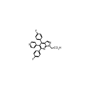 O=C(O)Cn1ncc2c(-c3ccc(F)cc3)c(-c3ccncc3)c(-c3ccc(F)cc3)nc21